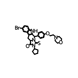 O=C1C2Cc3c([nH]c4ccc(Br)cc34)C(c3ccc(OCCN4CCOCC4)cc3)N2C(=S)N1C1CCCC1